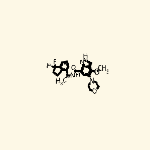 COc1c(N2CCOCC2)cc(C(=O)N[C@H](C)c2cccc3c2CCC3(F)F)c2n[nH]cc12